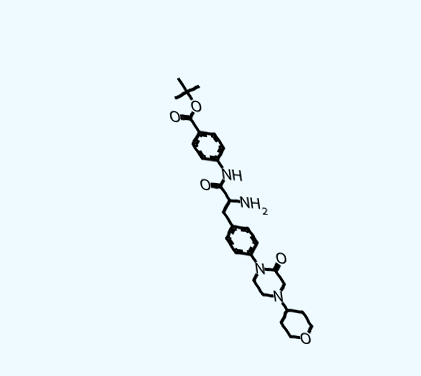 CC(C)(C)OC(=O)c1ccc(NC(=O)C(N)Cc2ccc(N3CCN(C4CCOCC4)CC3=O)cc2)cc1